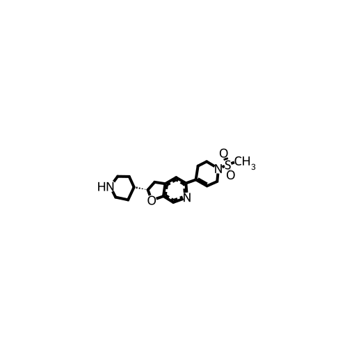 CS(=O)(=O)N1CC=C(c2cc3c(cn2)O[C@H](C2CCNCC2)C3)CC1